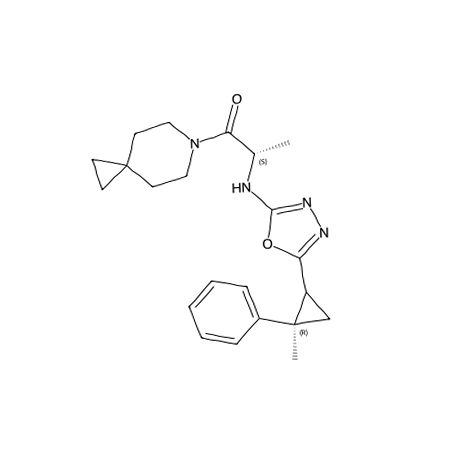 C[C@H](Nc1nnc(C2C[C@@]2(C)c2ccccc2)o1)C(=O)N1CCC2(CC1)CC2